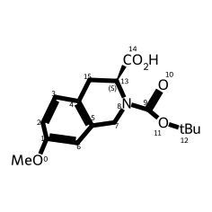 COc1ccc2c(c1)CN(C(=O)OC(C)(C)C)[C@H](C(=O)O)C2